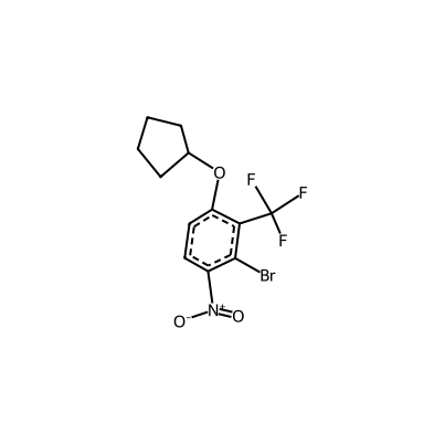 O=[N+]([O-])c1ccc(OC2CCCC2)c(C(F)(F)F)c1Br